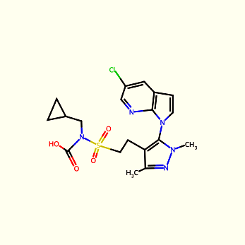 Cc1nn(C)c(-n2ccc3cc(Cl)cnc32)c1CCS(=O)(=O)N(CC1CC1)C(=O)O